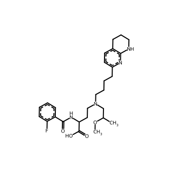 COC(C)CN(CCCCc1ccc2c(n1)NCCC2)CCC(NC(=O)c1ccccc1F)C(=O)O